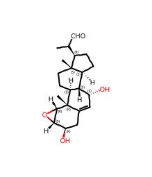 CC(C=O)[C@H]1CC[C@H]2[C@@H]3[C@H](O)C=C4C[C@@H](O)[C@@H]5O[C@@H]5[C@]4(C)[C@H]3CC[C@]12C